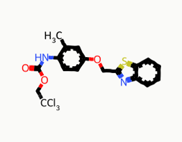 Cc1cc(OCc2nc3ccccc3s2)ccc1NC(=O)OCC(Cl)(Cl)Cl